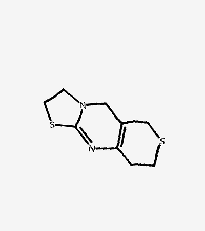 C1CC2=C(CS1)CN1CCSC1=N2